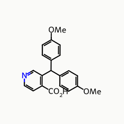 COc1ccc(C(c2ccc(OC)cc2)c2cnccc2C(=O)O)cc1